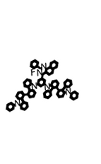 Fc1ccccc1-c1nc(-c2cc(-n3c4ccccc4c4c(-c5cccc6c5c5ccccc5n6-c5ccccc5)cccc43)cc(-n3c4ccccc4c4c(-c5cccc6c5c5ccccc5n6-c5ccccc5)cccc43)c2)c2ccc3ccccc3c2n1